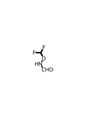 O=[C]NOC(F)F